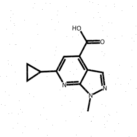 Cn1ncc2c(C(=O)O)cc(C3CC3)nc21